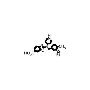 CCOc1cc(CN(c2nc3ccc(C(=O)O)cc3o2)C2CCNCC2)ccc1C